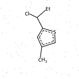 CCC(Cl)c1cc(C)cs1